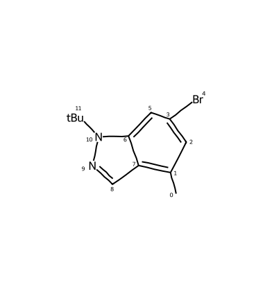 Cc1cc(Br)cc2c1cnn2C(C)(C)C